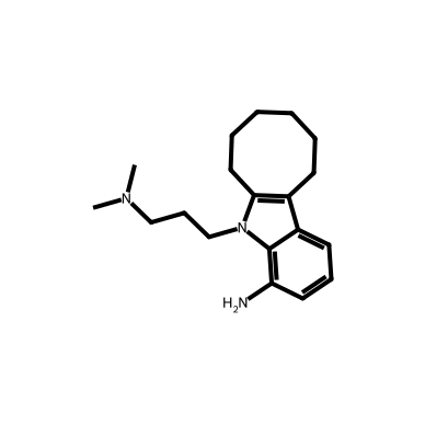 CN(C)CCCn1c2c(c3cccc(N)c31)CCCCCC2